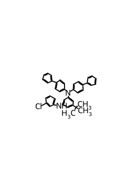 CC(C)(C)c1cc(Nc2cccc(Cl)c2)cc(N(c2ccc(-c3ccccc3)cc2)c2ccc(-c3ccccc3)cc2)c1